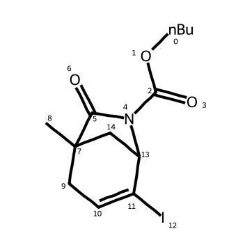 CCCCOC(=O)N1C(=O)C2(C)CC=C(I)C1C2